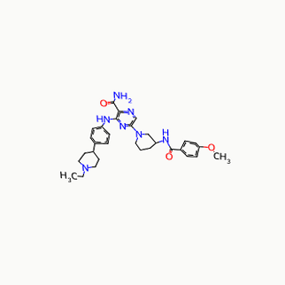 CCN1CCC(c2ccc(Nc3nc(N4CCCC(NC(=O)c5ccc(OC)cc5)C4)cnc3C(N)=O)cc2)CC1